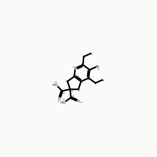 CCc1nc2c(c(CC)c1Br)CC(C(=O)O)(C(=O)O)C2